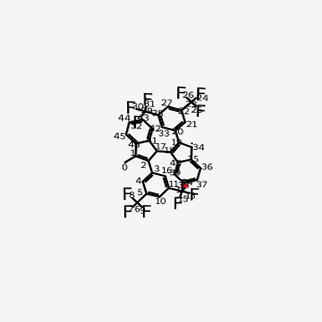 CC1=C(c2cc(C(F)(F)F)cc(C(F)(F)F)c2)C(C2=C(c3cc(C(F)(F)F)cc(C(F)(F)F)c3)[CH]c3ccccc32)c2ccccc21